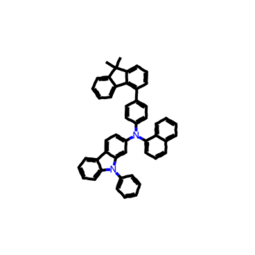 CC1(C)c2ccccc2-c2c(-c3ccc(N(c4ccc5c6ccccc6n(-c6ccccc6)c5c4)c4cccc5ccccc45)cc3)cccc21